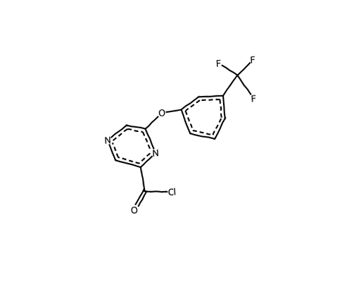 O=C(Cl)c1cncc(Oc2cccc(C(F)(F)F)c2)n1